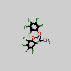 C[CH2][Al]([O]c1c(F)c(F)c(F)c(F)c1F)[O]c1c(F)c(F)c(F)c(F)c1F